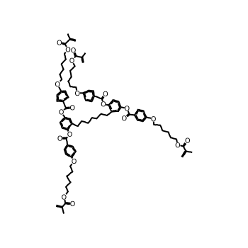 C=C(C)C(=O)OCCCCCCOc1ccc(C(=O)Oc2ccc(OC(=O)c3ccc(OCCCCCCOC(=O)C(=C)C)cc3)c(CCCCCCCc3cc(OC(=O)c4ccc(OCCCCCCOC(=O)C(=C)C)cc4)ccc3OC(=O)c3ccc(OCCCCCCOC(=O)C(=C)C)cc3)c2)cc1